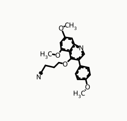 COc1ccc(-c2cnc3cc(OC)cc(OC)c3c2OCCCC#N)cc1